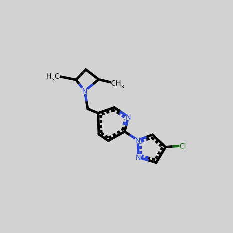 CC1CC(C)N1Cc1ccc(-n2cc(Cl)cn2)nc1